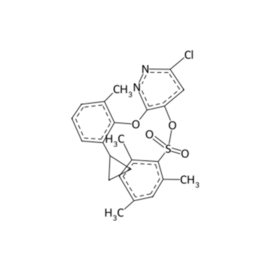 Cc1cc(C)c(S(=O)(=O)Oc2cc(Cl)nnc2Oc2c(C)cccc2C2CC2)c(C)c1